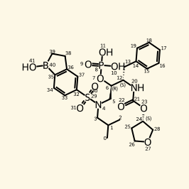 CC(C)CN(C[C@@H](OP(=O)(O)O)[C@H](Cc1ccccc1)NC(=O)O[C@H]1CCOC1)S(=O)(=O)c1ccc2c(c1)CCB2O